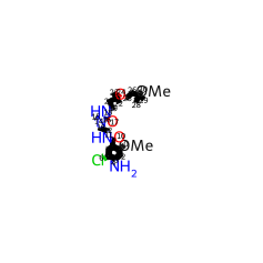 COc1cc(N)c(Cl)cc1C(=O)NCCN(C)C(=O)NCCC(C)(C)OCCC(C)(C)OC